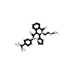 COCCN1C(=O)c2ccccc2C(C(=O)Nc2ccc(C(C)C)cc2)C1c1cccs1